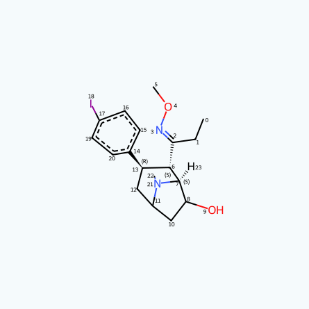 CCC(=NOC)[C@@H]1[C@H]2C(O)CC(C[C@H]1c1ccc(I)cc1)N2C